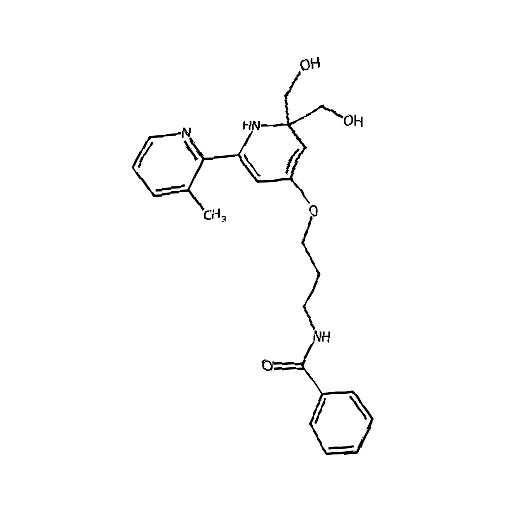 Cc1cccnc1C1=CC(OCCCNC(=O)c2ccccc2)=CC(CO)(CO)N1